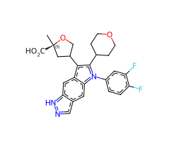 C[C@@]1(C(=O)O)CC(c2c(C3CCOCC3)n(-c3ccc(F)c(F)c3)c3cc4cn[nH]c4cc23)CO1